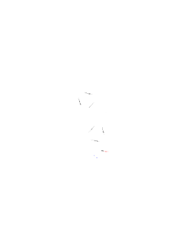 CC(C)(C)Cc1ccc(CC(C)(C)Cc2cccc(C(N)=O)c2)cc1